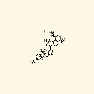 CCn1ncc(C(=O)c2ccc3c(c2C)/C(=N/OC)CCS3(=O)=O)c1OS(=O)(=O)c1ccc(C)cc1